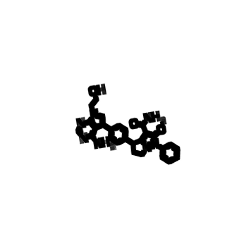 NC(=O)c1c2n(n(-c3ccccc3)c1=O)CCC2c1ccc(-c2cn(CCO)c3ncnc(N)c23)cc1